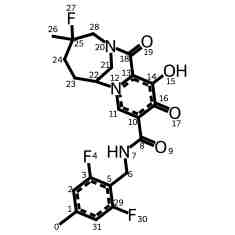 Cc1cc(F)c(CNC(=O)c2cn3c(c(O)c2=O)C(=O)N2CC3CCC(C)(F)C2)c(F)c1